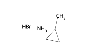 Br.CC1CC1.N